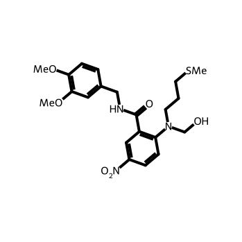 COc1ccc(CNC(=O)c2cc([N+](=O)[O-])ccc2N(CO)CCCSC)cc1OC